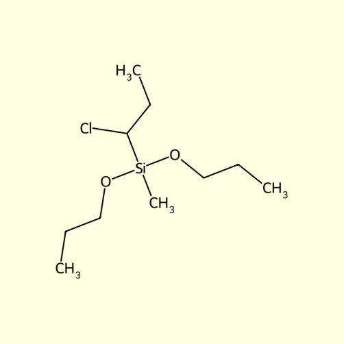 CCCO[Si](C)(OCCC)C(Cl)CC